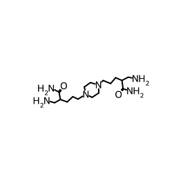 NCC(CCCN1CCN(CCCC(CN)C(N)=O)CC1)C(N)=O